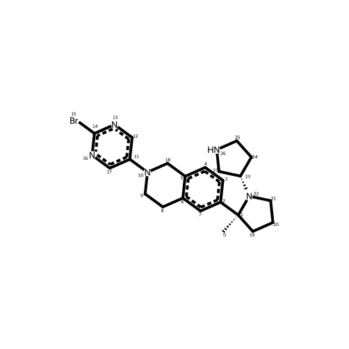 C[C@@]1(c2ccc3c(c2)CCN(c2cnc(Br)nc2)C3)CCCN1[C@H]1CCNC1